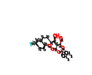 CC1(C)OC(=O)C(=C(O)[C@@H]2CCc3cc(F)ccc3O2)C(=O)O1